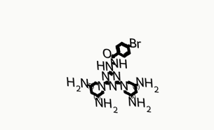 N[C@@H]1C[C@H](N)CN(c2nc(NNC(=O)c3ccc(Br)cc3)nc(N3C[C@H](N)C[C@H](N)C3)n2)C1